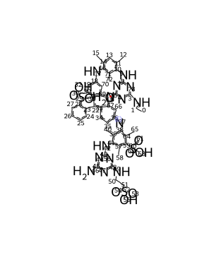 CCNc1nc(N)nc(Nc2c(C)cc(C)c(Nc3ccc4c(-c5ccccc5S(=O)(=O)O)c5cc/c(=N\c6c(C)c(Nc7nc(N)nc(NCCS(=O)(=O)O)n7)c(C)c(S(=O)(=O)O)c6C)cc-5oc4c3)c2C)n1